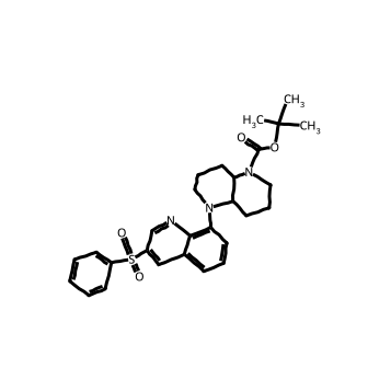 CC(C)(C)OC(=O)N1CCCC2C1CCCN2c1cccc2cc(S(=O)(=O)c3ccccc3)cnc12